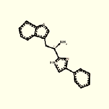 N[C@H](Cc1csc2ccccc12)c1nc(-c2ccccc2)c[nH]1